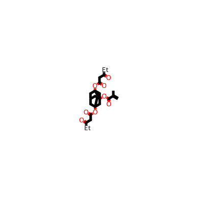 C=C(C)C(=O)OC12CC3CC(OC(=O)CC(=O)CC)(CC(OC(=O)CC(=O)CC)(C3)C1)C2